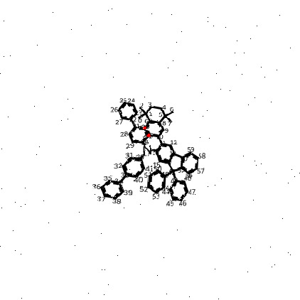 CC1(C)CCC(C)(C)c2cc(-c3cc4c(cc3N(c3ccc(-c5ccccc5)cc3)c3ccc(-c5ccccc5)cc3)C(c3ccccc3)(c3ccccc3)c3ccccc3-4)ccc21